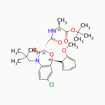 COc1ccccc1[C@@H]1O[C@@H](CC(=O)N[C@@H](C)C(=O)OC(C)(C)C)C(=O)N(CC(C)(C)C)c2ccc(Cl)cc21